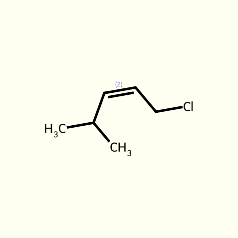 CC(C)/C=C\CCl